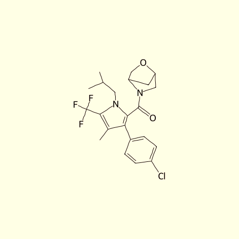 Cc1c(-c2ccc(Cl)cc2)c(C(=O)N2CC3CC2CO3)n(CC(C)C)c1C(F)(F)F